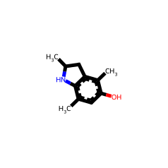 Cc1cc(O)c(C)c2c1NC(C)C2